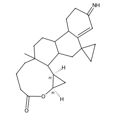 CC12CCCC(=O)O[C@@H]3C[C@@H]3C1C1CC3(CC3)C3=CC(=N)CCC3C1CC2